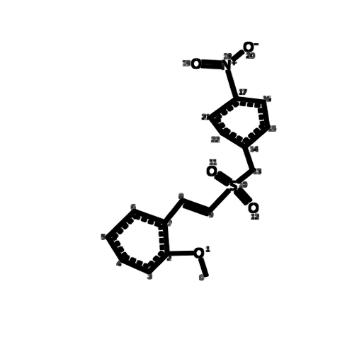 COc1ccccc1C=CS(=O)(=O)Cc1ccc([N+](=O)[O-])cc1